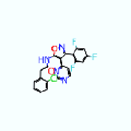 O=C(Cc1ccccc1Cl)Nc1onc(-c2c(F)cc(F)cc2F)c1-c1ccncn1